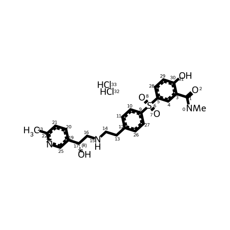 CNC(=O)c1cc(S(=O)(=O)c2ccc(CCNC[C@H](O)c3ccc(C)nc3)cc2)ccc1O.Cl.Cl